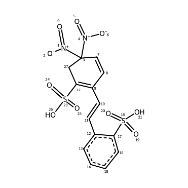 O=[N+]([O-])C1([N+](=O)[O-])C=CC(C=Cc2ccccc2S(=O)(=O)O)=C(S(=O)(=O)O)C1